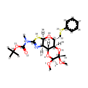 CO[C@@]1(C)O[C@@H]2[C@H]3N=C(N(C)C(=O)OC(C)(C)C)S[C@H]3O[C@H](CSc3ccccc3)[C@H]2O[C@]1(C)OC